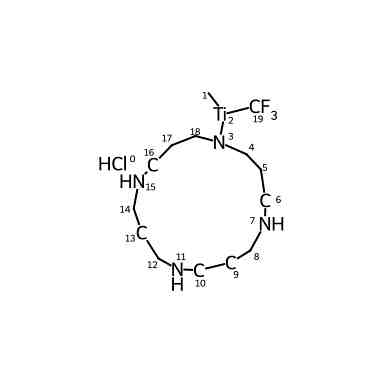 Cl.[CH3][Ti]([N]1CCCNCCCNCCCNCCC1)[C](F)(F)F